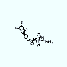 Nc1cc2[nH]c(C(=O)NCc3ccc(S(=O)(=O)c4cc(F)cc(F)c4)cc3)cc2c(Cl)n1